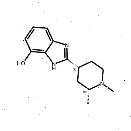 C[C@@H]1C[C@H](c2nc3cccc(O)c3[nH]2)CCN1C